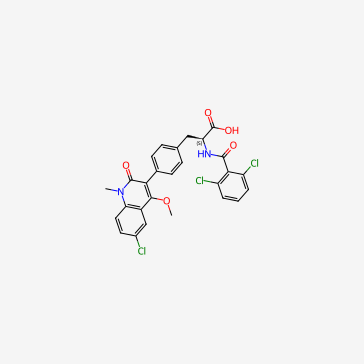 COc1c(-c2ccc(C[C@H](NC(=O)c3c(Cl)cccc3Cl)C(=O)O)cc2)c(=O)n(C)c2ccc(Cl)cc12